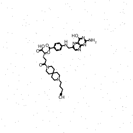 C#CCCCN1CCC2(CC1)CCN(C(=O)CC[C@H](OC(=O)c1ccc(NCc3cnc4nc(N)nc(O)c4n3)cc1)C(=O)O)CC2